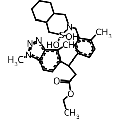 CCOC(=O)CC(c1ccc(C)c(CN2CC3CCCCC3CS2(O)O)c1)c1ccc2c(nnn2C)c1C